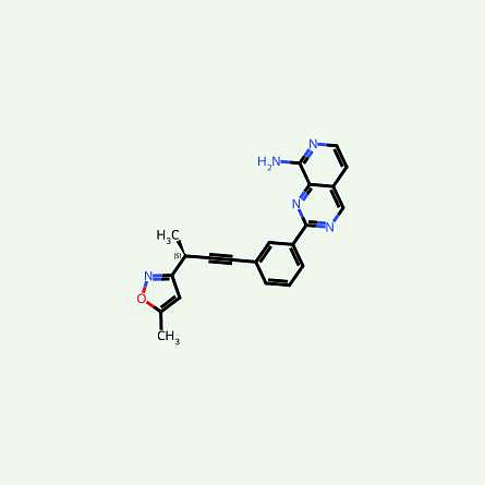 Cc1cc([C@@H](C)C#Cc2cccc(-c3ncc4ccnc(N)c4n3)c2)no1